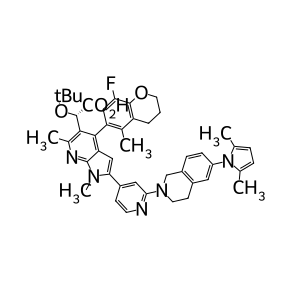 Cc1nc2c(cc(-c3ccnc(N4CCc5cc(-n6c(C)ccc6C)ccc5C4)c3)n2C)c(-c2cc(F)c3c(c2C)CCCO3)c1[C@H](OC(C)(C)C)C(=O)O